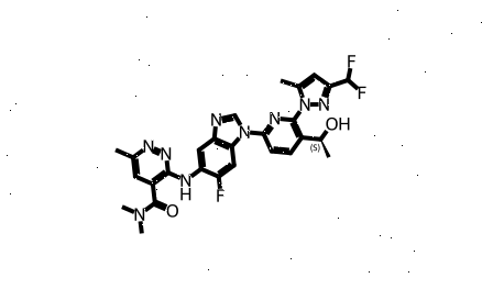 Cc1cc(C(=O)N(C)C)c(Nc2cc3ncn(-c4ccc([C@H](C)O)c(-n5nc(C(F)F)cc5C)n4)c3cc2F)nn1